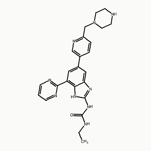 CCNC(=O)Nc1nc2cc(-c3ccc(CN4CCNCC4)nc3)cc(-c3ncccn3)c2[nH]1